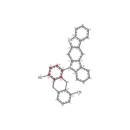 N#Cc1cccc2c1C1c3cccc(C#N)c3C2c2c1cccc2-n1c2ccccc2c2cc3c(cc21)oc1ccccc13